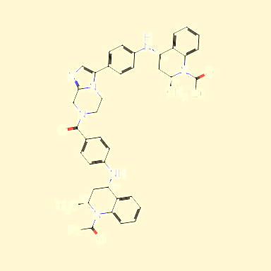 CCC(=O)N1c2ccccc2[C@H](Nc2ccc(C(=O)N3CCn4c(-c5ccc(N[C@@H]6C[C@H](C)N(C(=O)CC)c7ccccc76)cc5)cnc4C3)cc2)C[C@@H]1C